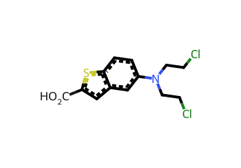 O=C(O)c1cc2cc(N(CCCl)CCCl)ccc2s1